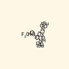 CC(C)(C)OC(=O)Nc1ccc(-c2cccc(C(F)(F)F)c2)cc1C(=O)N1CCN(C(=O)OC(C)(C)C)CC1(C)C(=O)O